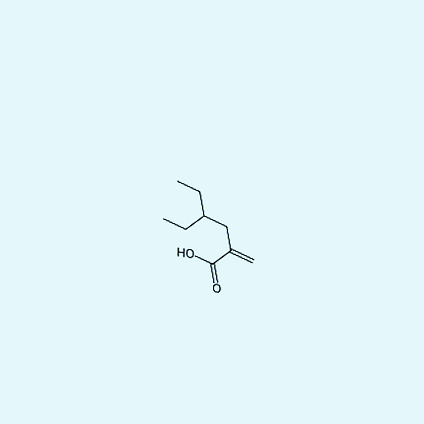 C=C(CC(CC)CC)C(=O)O